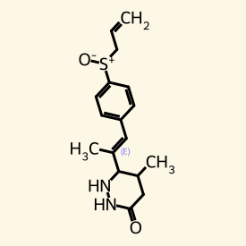 C=CC[S+]([O-])c1ccc(/C=C(\C)C2NNC(=O)CC2C)cc1